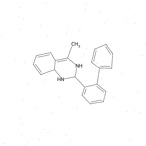 CC1=C2C=CC=CC2NC(c2ccccc2-c2ccccc2)N1